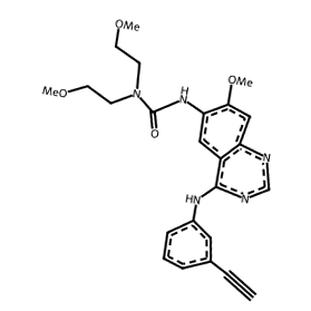 C#Cc1cccc(Nc2ncnc3cc(OC)c(NC(=O)N(CCOC)CCOC)cc23)c1